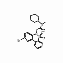 CN(C(=O)CN1c2ccc(Br)cc2-c2ccccc2S1(=O)=O)C1CCCCC1